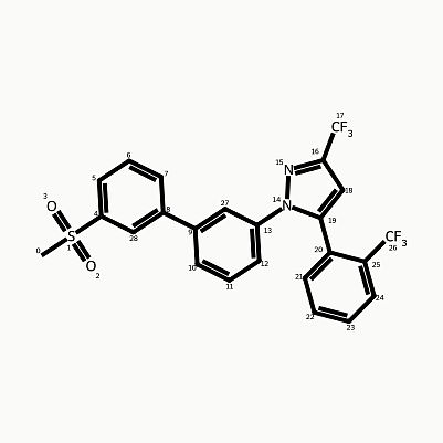 CS(=O)(=O)c1cccc(-c2cccc(-n3nc(C(F)(F)F)cc3-c3ccccc3C(F)(F)F)c2)c1